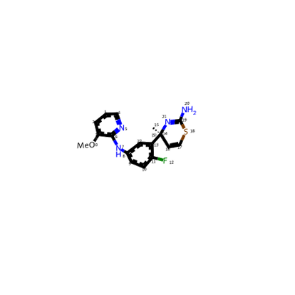 COc1cccnc1Nc1ccc(F)c([C@]2(C)C=CSC(N)=N2)c1